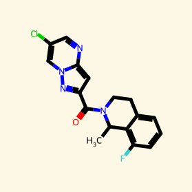 CC1c2c(F)cccc2CCN1C(=O)c1cc2ncc(Cl)cn2n1